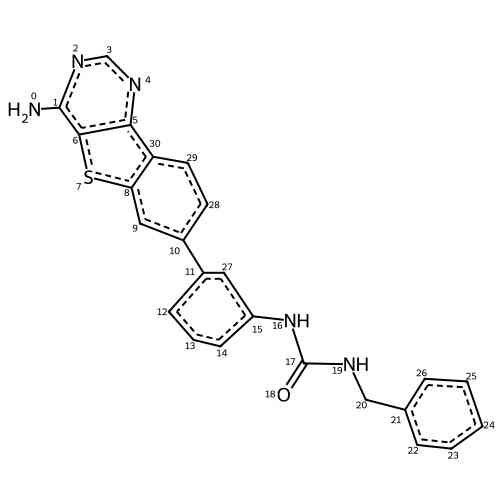 Nc1ncnc2c1sc1cc(-c3cccc(NC(=O)NCc4ccccc4)c3)ccc12